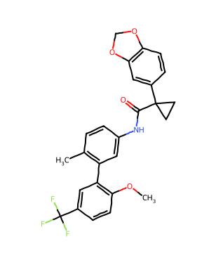 COc1ccc(C(F)(F)F)cc1-c1cc(NC(=O)C2(c3ccc4c(c3)OCO4)CC2)ccc1C